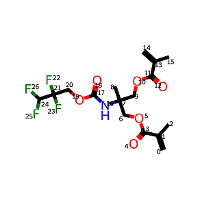 C=C(C)C(=O)OCC(C)(COC(=O)C(=C)C)NC(=O)OCC(F)(F)C(F)F